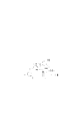 Cc1cc(Oc2cc(F)cc(F)c2)ccc1C1(N)C(=O)C(N)c2c(C(=O)NC3CCCNC3)sc3c(N)ccc1c23